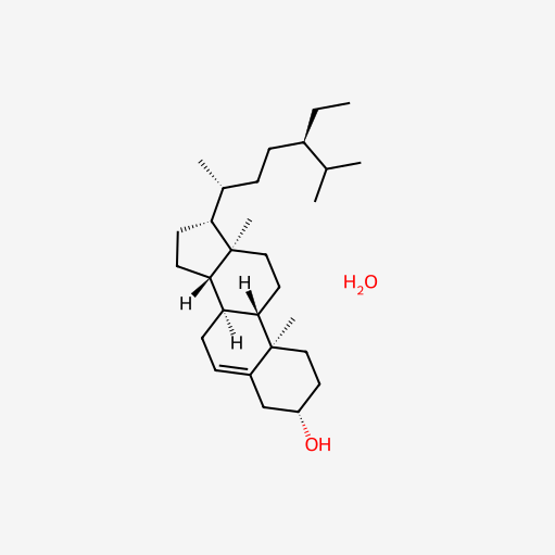 CC[C@H](CC[C@@H](C)[C@H]1CC[C@H]2[C@@H]3CC=C4C[C@@H](O)CC[C@]4(C)[C@H]3CC[C@]12C)C(C)C.O